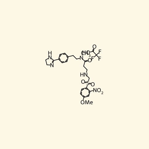 COc1ccc(S(=O)(=O)CNCCC(=O)N(C)CCc2ccc(C3=NCCN3)cc2)c([N+](=O)[O-])c1.O=C(O)C(F)(F)F